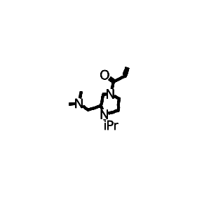 C=CC(=O)N1CCN(C(C)C)C(CN(C)C)C1